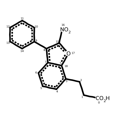 O=C(O)CCc1cccc2c(-c3ccccc3)c([N+](=O)[O-])oc12